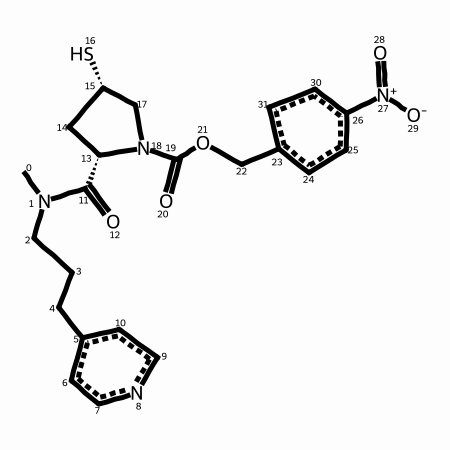 CN(CCCc1ccncc1)C(=O)[C@@H]1C[C@H](S)CN1C(=O)OCc1ccc([N+](=O)[O-])cc1